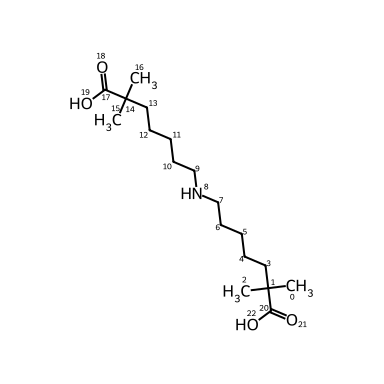 CC(C)(CCCCCNCCCCCC(C)(C)C(=O)O)C(=O)O